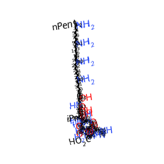 CCCCCC(N)CCCCCCCC(N)CCCCCCCC(N)CCCCCCCC(N)CCCCCCCC(O)CCNC(=O)C[C@H](O)C[C@H](O)[C@@H](NC(=O)[C@@H]1NC(=O)[C@H](CC(N)=O)NC(=O)[C@H](NC(=O)[C@H](Cc2cnc[nH]2)NC(=O)C[C@H](N)C(=O)O)CC(=O)N[C@@H]1C)C(C)C